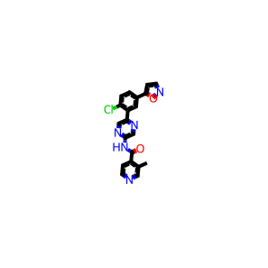 Cc1cnccc1C(=O)Nc1cnc(-c2cc(-c3ccno3)ccc2Cl)cn1